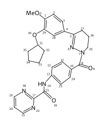 COc1ccc(C2=NN(C(=O)c3ccc(NC(=O)c4ncccn4)cc3)CCC2)cc1OC1CCCC1